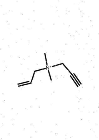 C#CC[N+](C)(C)CC=C